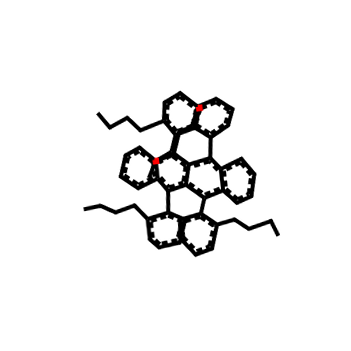 CCCCc1ccccc1-c1c2ccccc2c(-c2ccccc2CCCC)c2c(-c3ccccc3CCCC)c3ccccc3c(-c3ccccc3CCCC)c12